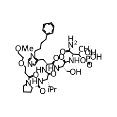 COCCOCCC(=O)N1CCC[C@H]1C(=O)N[C@@H](CC(C)C)C(=O)N[C@@H](Cc1cncn1CCCCc1ccccc1)C(=O)N[C@@H](CO)C(=O)N[C@H](C(N)=O)[C@@H](C)OP(=O)(O)O